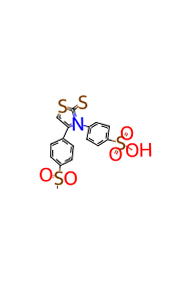 CS(=O)(=O)c1ccc(-c2csc(=S)n2-c2ccc(S(=O)(=O)O)cc2)cc1